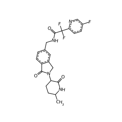 CC1CCC(N2Cc3cc(CNC(=O)C(F)(F)c4ccc(F)cn4)ccc3C2=O)C(=O)N1